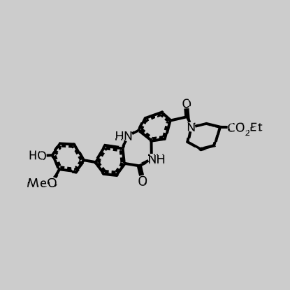 CCOC(=O)C1CCCN(C(=O)c2ccc3c(c2)NC(=O)c2ccc(-c4ccc(O)c(OC)c4)cc2N3)C1